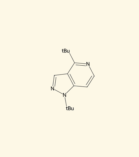 CC(C)(C)c1nccc2c1cnn2C(C)(C)C